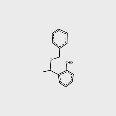 CC(OCc1ccccc1)c1ccccc1C=O